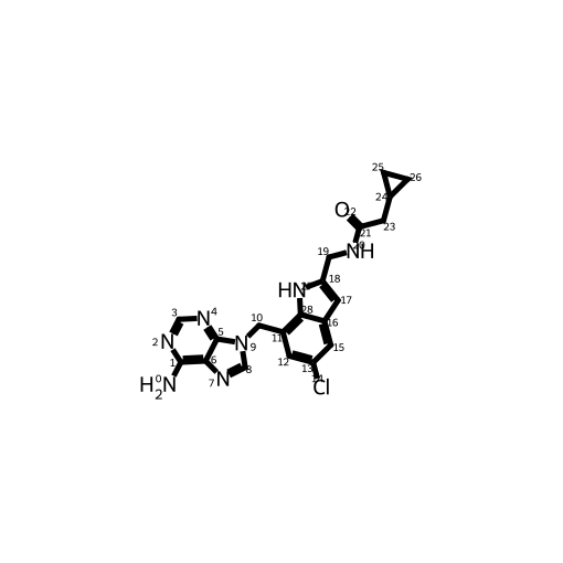 Nc1ncnc2c1ncn2Cc1cc(Cl)cc2cc(CNC(=O)CC3CC3)[nH]c12